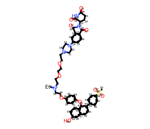 CCN(CCOCCOCCN1CCN(c2ccc3c(c2)C(=O)N(C2CCC(=O)NC2=O)C3=O)CC1)CCOc1ccc(Oc2c(-c3ccc(S(C)(=O)=O)cc3)ccc3cc(O)ccc23)cc1